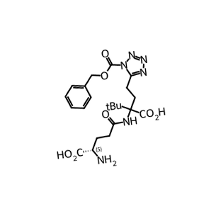 CC(C)(C)C(CCc1nnnn1C(=O)OCc1ccccc1)(NC(=O)CC[C@H](N)C(=O)O)C(=O)O